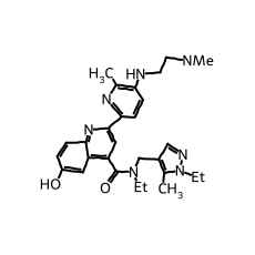 CCN(Cc1cnn(CC)c1C)C(=O)c1cc(-c2ccc(NCCNC)c(C)n2)nc2ccc(O)cc12